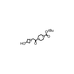 CC(C)(C)OC(=O)N1CCN(C(=O)CN2CC(O)C2)CC1